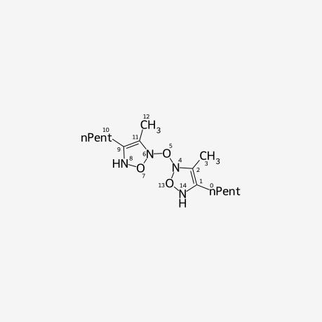 CCCCCC1=C(C)N(ON2ONC(CCCCC)=C2C)ON1